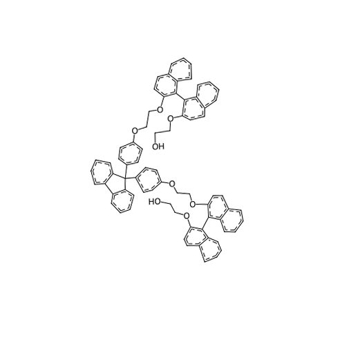 OCCOc1ccc2ccccc2c1-c1c(OCCOc2ccc(C3(c4ccc(OCCOc5ccc6ccccc6c5-c5c(OCCO)ccc6ccccc56)cc4)c4ccccc4-c4ccccc43)cc2)ccc2ccccc12